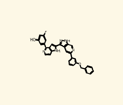 Oc1cc(F)cc(-c2nccc3[nH]c(-c4n[nH]c5cnc(-c6cccc(OCc7ccccc7)c6)cc45)cc23)c1